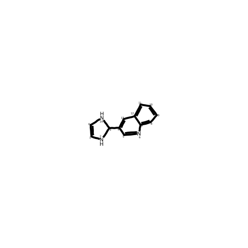 C1=CNC(c2cnc3ccccc3c2)N1